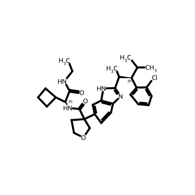 CCNC(=O)[C@H](NC(=O)C1(c2ccc3nc(C(C)[C@H](c4ccccc4Cl)C(C)C)[nH]c3c2)CCOC1)C1CCC1